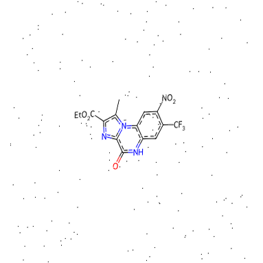 CCOC(=O)c1nc2c(=O)[nH]c3cc(C(F)(F)F)c([N+](=O)[O-])cc3n2c1C